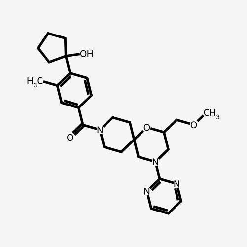 COCC1CN(c2ncccn2)CC2(CCN(C(=O)c3ccc(C4(O)CCCC4)c(C)c3)CC2)O1